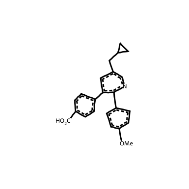 COc1ccc(-c2ncc(CC3CC3)cc2-c2ccc(C(=O)O)cc2)cc1